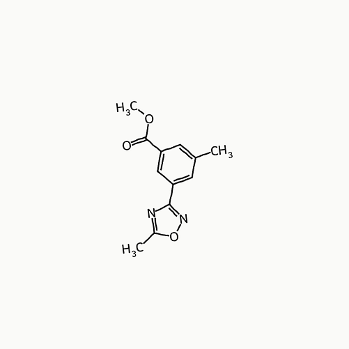 COC(=O)c1cc(C)cc(-c2noc(C)n2)c1